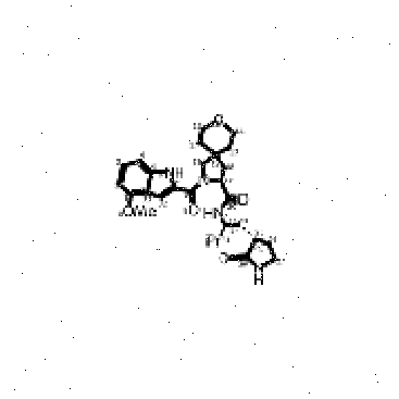 COc1cccc2[nH]c(C(=O)N3CC4(CCOCC4)CC3C(=O)N[C@@H](C[C@@H]3CCNC3=O)C(C)C)cc12